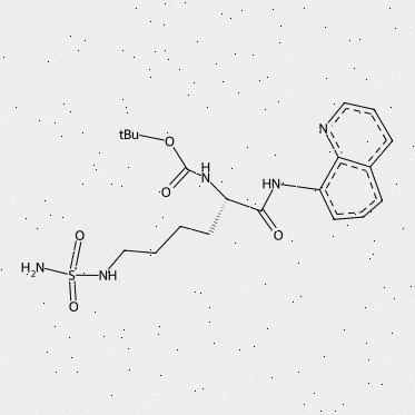 CC(C)(C)OC(=O)N[C@@H](CCCCNS(N)(=O)=O)C(=O)Nc1cccc2cccnc12